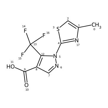 Cc1csc(-n2ncc(C(=O)O)c2C(F)(F)F)n1